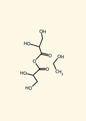 CCO.O=C(OC(=O)C(O)CO)C(O)CO